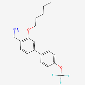 CCCCCOc1cc(-c2ccc(OC(F)(F)F)cc2)ccc1CN